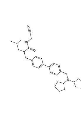 CC(C)CC(Sc1ccc(-c2ccc(CN(C3CCCC3)C3CCCC3)cc2)cc1)C(=O)NCC#N